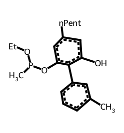 CCCCCc1cc(O)c(-c2cccc(C)c2)c(OP(C)OCC)c1